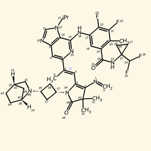 C=NC1=C(/C=C(\C)c2cc3ncn(C(C)C)c3c(Nc3cc(C(=O)NC4(C(F)F)CC4)c(C)c(F)c3F)n2)N([C@H]2C[C@@H](N3C[C@H]4CC[C@@H]3C4)C2)C(=O)C1(C)C